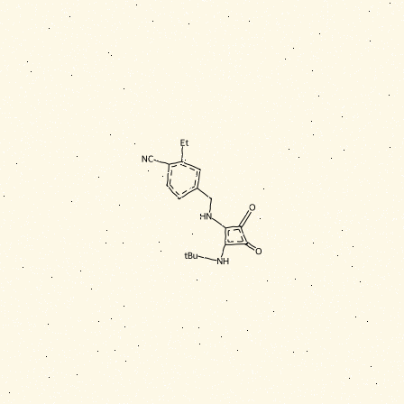 CCc1cc(CNc2c(NC(C)(C)C)c(=O)c2=O)ccc1C#N